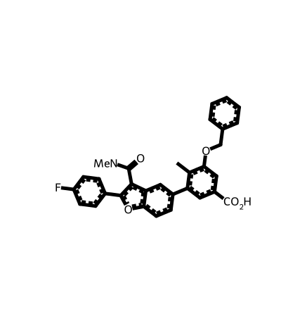 CNC(=O)c1c(-c2ccc(F)cc2)oc2ccc(-c3cc(C(=O)O)cc(OCc4ccccc4)c3C)cc12